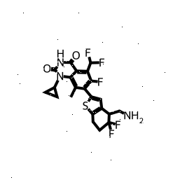 Cc1c(-c2cc3c(s2)CCC(F)(F)C3CN)c(F)c(C(F)F)c2c(=O)[nH]c(=O)n(C3CC3)c12